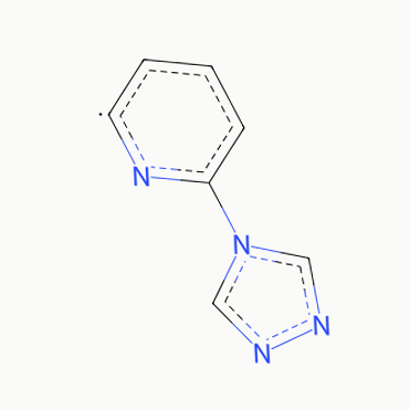 [c]1cccc(-n2cnnc2)n1